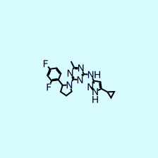 Cc1nc(Nc2cc(C3CC3)[nH]n2)nc(N2CCCC2c2ccc(F)cc2F)n1